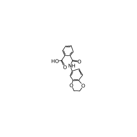 O=C(O)c1ccccc1C(=O)Nc1ccc2c(c1)OCCO2